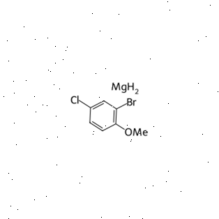 COc1ccc(Cl)cc1Br.[MgH2]